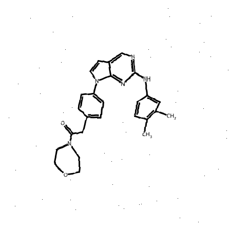 Cc1ccc(Nc2ncc3ccn(-c4ccc(CC(=O)N5CCOCC5)cc4)c3n2)cc1C